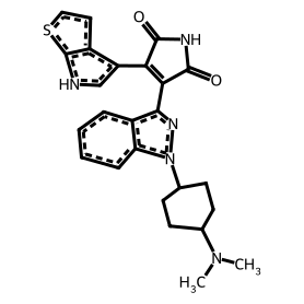 CN(C)C1CCC(n2nc(C3=C(c4c[nH]c5sccc45)C(=O)NC3=O)c3ccccc32)CC1